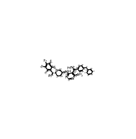 CC(C)Cc1c(F)c(F)c(F)c(F)c1SN1CCCC(Nc2ncnc(N)c2C(=N)c2ccc(Cc3ccccc3)cc2)C1